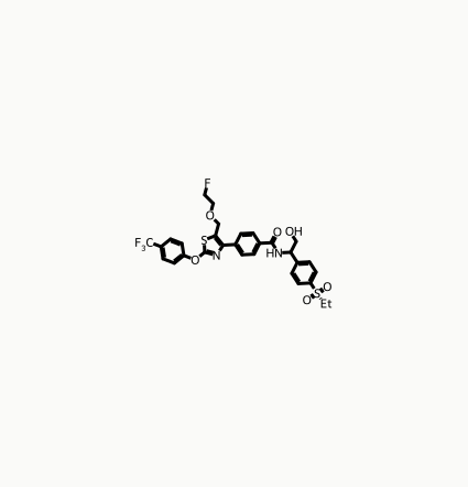 CCS(=O)(=O)c1ccc(C(CO)NC(=O)c2ccc(-c3nc(Oc4ccc(C(F)(F)F)cc4)sc3COCCF)cc2)cc1